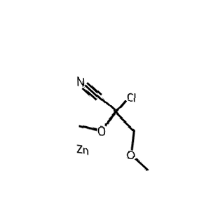 COCC(Cl)(C#N)OC.[Zn]